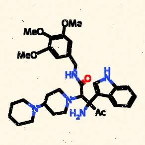 COc1cc(CNC(=O)C(N2CCC(N3CCCCC3)CC2)C(N)(C(C)=O)c2c[nH]c3ccccc23)cc(OC)c1OC